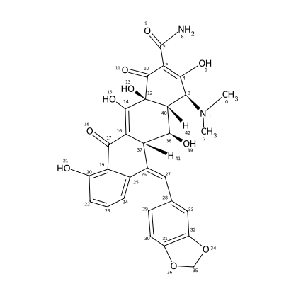 CN(C)[C@@H]1C(O)=C(C(N)=O)C(=O)[C@@]2(O)C(O)=C3C(=O)c4c(O)cccc4/C(=C\c4ccc5c(c4)OCO5)[C@H]3[C@H](O)[C@@H]12